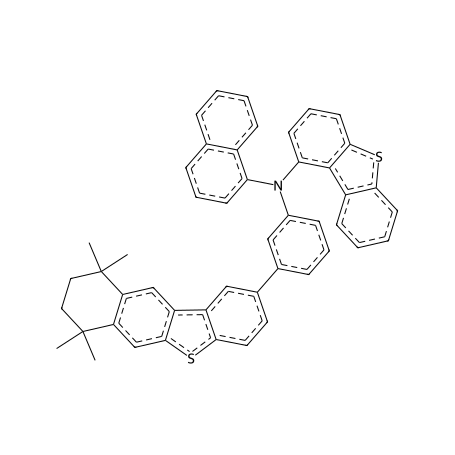 CC1(C)CCC(C)(C)c2cc3c(cc21)sc1ccc(-c2cccc(N(c4cccc5ccccc45)c4cccc5sc6ccccc6c45)c2)cc13